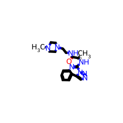 C[C@@H](Nc1nc2ccccc2c2cnnn12)C(=O)NCCN1CCN(C)CC1